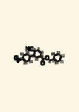 N#Cc1ccc(C(=O)OCc2ccccc2)cc1-c1ccc(P=O)cc1